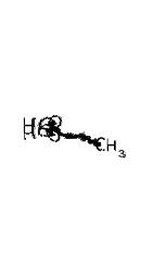 CCCCCCCCCCC=C(C(=O)O)C(=O)O